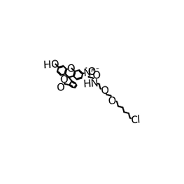 C[N+]([O-])(CC(=O)NCCOCCOCCCCCCCl)c1ccc2c(c1)Oc1cc(O)ccc1C21OC(=O)c2ccccc21